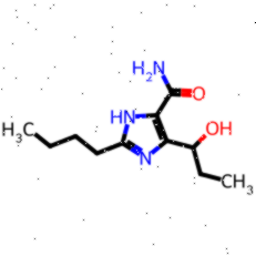 CCCCc1nc(C(O)CC)c(C(N)=O)[nH]1